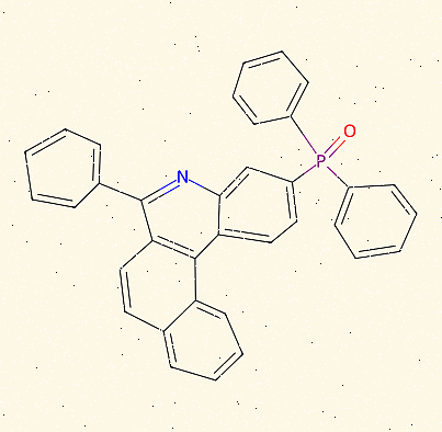 O=P(c1ccccc1)(c1ccccc1)c1ccc2c(c1)nc(-c1ccccc1)c1ccc3ccccc3c12